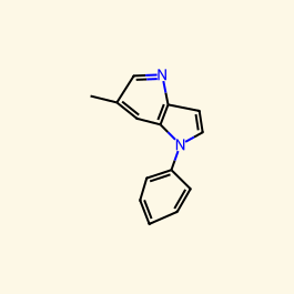 Cc1cnc2ccn(-c3ccccc3)c2c1